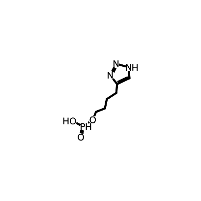 O=[PH](O)OCCCCc1c[nH]nn1